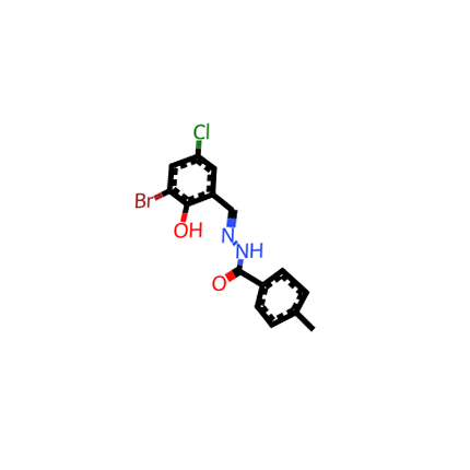 Cc1ccc(C(=O)N/N=C/c2cc(Cl)cc(Br)c2O)cc1